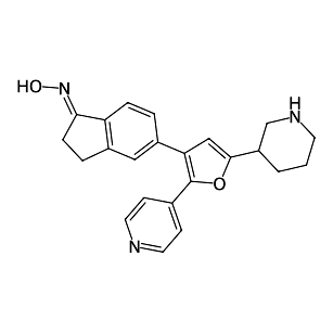 ON=C1CCc2cc(-c3cc(C4CCCNC4)oc3-c3ccncc3)ccc21